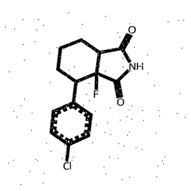 O=C1NC(=O)C2(F)C1CCCC2c1ccc(Cl)cc1